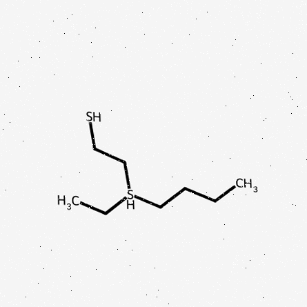 CCCC[SH](CC)CCS